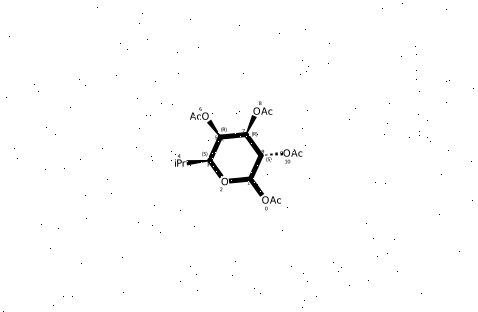 CC(=O)OC1O[C@@H](C(C)C)[C@@H](OC(C)=O)[C@@H](OC(C)=O)[C@@H]1OC(C)=O